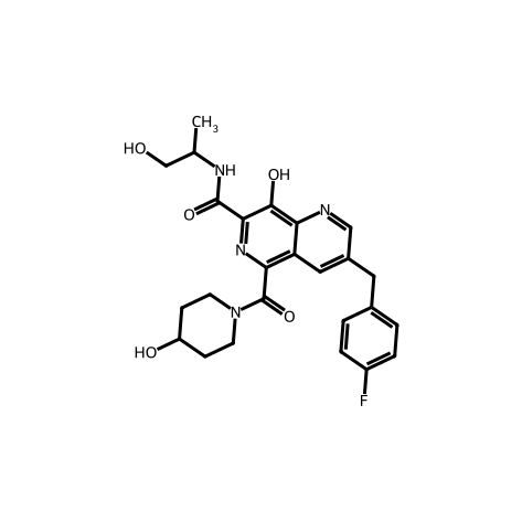 CC(CO)NC(=O)c1nc(C(=O)N2CCC(O)CC2)c2cc(Cc3ccc(F)cc3)cnc2c1O